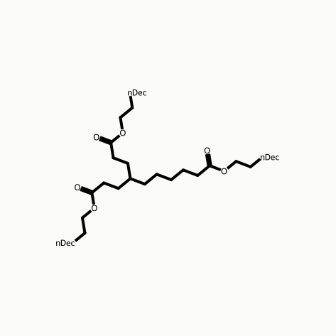 CCCCCCCCCCCCOC(=O)CCCCCC(CCC(=O)OCCCCCCCCCCCC)CCC(=O)OCCCCCCCCCCCC